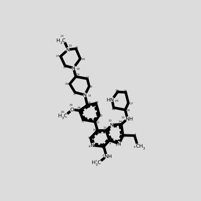 CCc1nc2c(NC)ncc(-c3ccc(N4CCC(N5CCN(C)CC5)CC4)c(OC)c3)c2nc1NC1CCCNC1